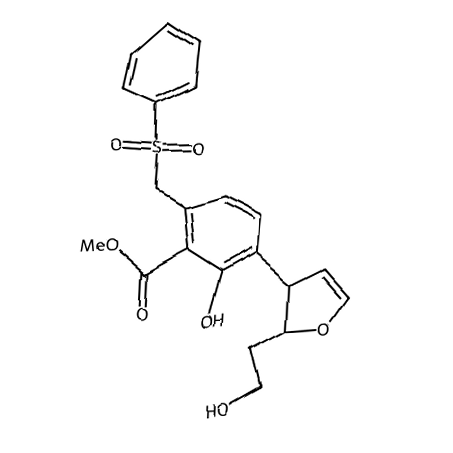 COC(=O)c1c(CS(=O)(=O)c2ccccc2)ccc(C2C=COC2CCO)c1O